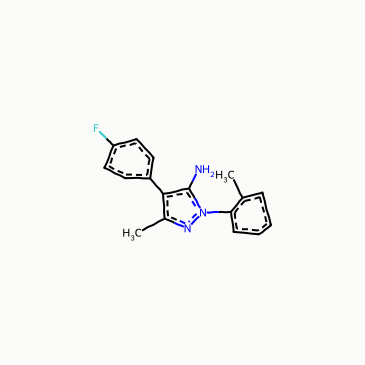 Cc1ccccc1-n1nc(C)c(-c2ccc(F)cc2)c1N